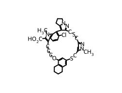 Cn1nc2cc1CSc1cc3c(c(c1)OCCCc1c(C(=O)O)n(C)c4c(c(Cl)ccc14)-c1c(nn4c1CCC4)CSC2)CCCC3